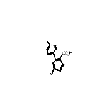 O=C(O)c1ccc(Br)cc1-c1ccc(C(F)(F)F)cc1